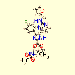 CC1(CNS(C)(=O)=O)COC(c2nc(-c3ccc(F)cc3)c(-c3ccnc(NCc4ccco4)n3)[nH]2)OC1